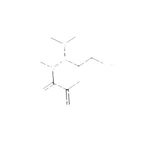 C=C(C)C(=O)N(CCC)N(CCCCCCCCCCCC)N(C)C.Cl